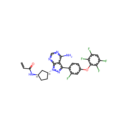 C=CC(=O)N[C@@H]1CC[C@@H](n2nc(-c3ccc(Oc4c(F)c(F)cc(F)c4F)cc3F)c3c(N)ncnc32)C1